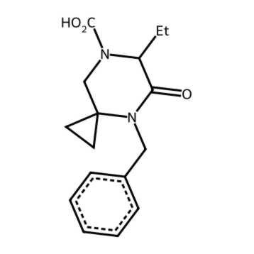 CCC1C(=O)N(Cc2ccccc2)C2(CC2)CN1C(=O)O